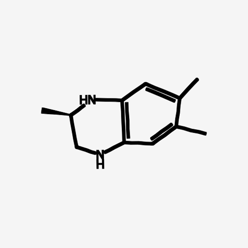 Cc1cc2c(cc1C)N[C@H](C)CN2